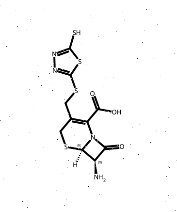 N[C@@H]1C(=O)N2C(C(=O)O)=C(CSc3nnc(S)s3)CS[C@H]12